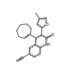 Cc1cc(-c2c(C3=CCCCCC3)c3cc(C#N)ccc3[nH]c2=O)on1